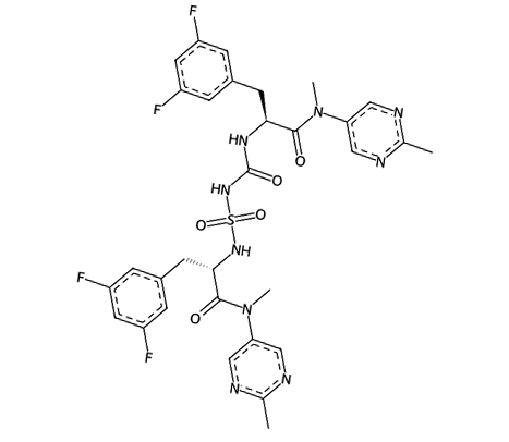 Cc1ncc(N(C)C(=O)[C@H](Cc2cc(F)cc(F)c2)NC(=O)NS(=O)(=O)N[C@@H](Cc2cc(F)cc(F)c2)C(=O)N(C)c2cnc(C)nc2)cn1